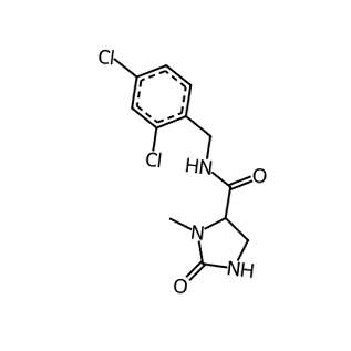 CN1C(=O)NCC1C(=O)NCc1ccc(Cl)cc1Cl